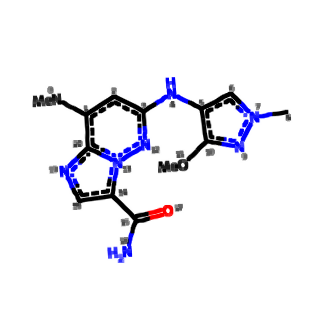 CNc1cc(Nc2cn(C)nc2OC)nn2c(C(N)=O)cnc12